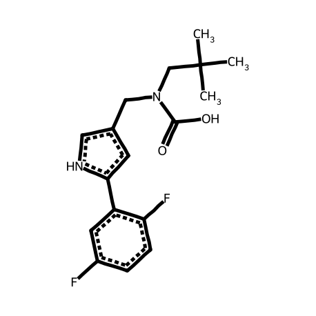 CC(C)(C)CN(Cc1c[nH]c(-c2cc(F)ccc2F)c1)C(=O)O